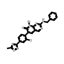 CCn1c(=O)c(-c2ccc(-c3noc(C)n3)cc2Cl)cc2cnc(NCc3ccccc3)nc21